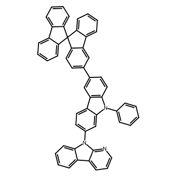 c1ccc(-n2c3ccc(-c4ccc5c(c4)-c4ccccc4C54c5ccccc5-c5ccccc54)cc3c3ccc(-n4c5ccccc5c5cccnc54)cc32)cc1